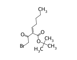 CCCCC=C(C(=O)CBr)C(=O)OC(C)(C)C